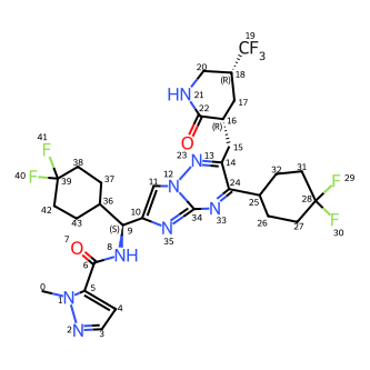 Cn1nccc1C(=O)N[C@H](c1cn2nc(C[C@H]3C[C@@H](C(F)(F)F)CNC3=O)c(C3CCC(F)(F)CC3)nc2n1)C1CCC(F)(F)CC1